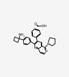 NC1(c2ccc(-c3nc4ccnc(N5CCCCC5)c4cc3-c3ccccc3)cc2)CCC1.O=CO